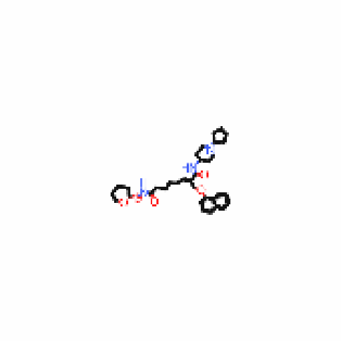 O=C(CCCC/C=C(\COc1cccc2ccccc12)C(=O)NC1CCN(C2CCCC2)CC1)NOC1CCCCO1